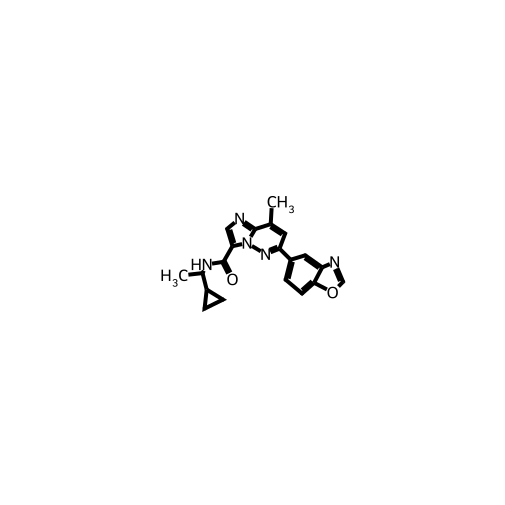 Cc1cc(-c2ccc3ocnc3c2)nn2c(C(=O)NC(C)C3CC3)cnc12